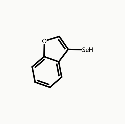 [SeH]c1coc2ccccc12